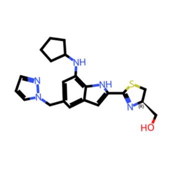 OC[C@@H]1CSC(c2cc3cc(Cn4cccn4)cc(NC4CCCC4)c3[nH]2)=N1